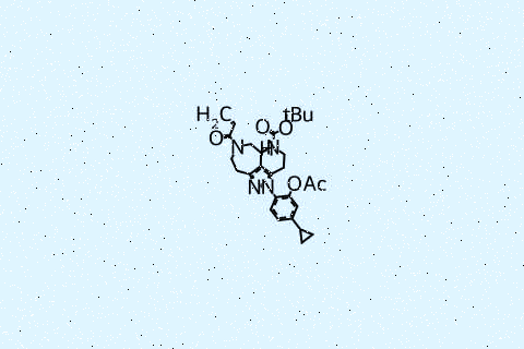 C=CC(=O)N1CCc2nn(-c3ccc(C4CC4)cc3OC(C)=O)c3c2[C@H](C1)N(C(=O)OC(C)(C)C)CC3